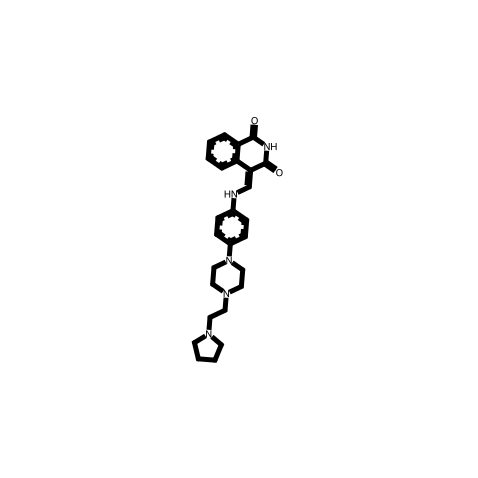 O=C1NC(=O)c2ccccc2/C1=C\Nc1ccc(N2CCN(CCN3CCCC3)CC2)cc1